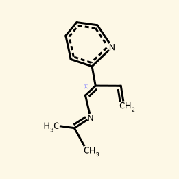 C=C/C(=C\N=C(C)C)c1ccccn1